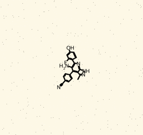 Cc1n[nH]c2nc(-c3ccc(O)cc3F)c(N)c(-c3ccc(C#N)cc3)c12